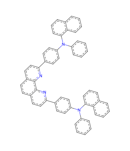 c1ccc(N(c2ccc(-c3ccc4ccc5ccc(-c6ccc(N(c7ccccc7)c7cccc8ccccc78)cc6)nc5c4n3)cc2)c2cccc3ccccc23)cc1